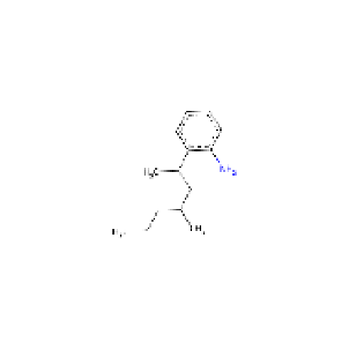 CCCC(C)CC(C)c1ccccc1N